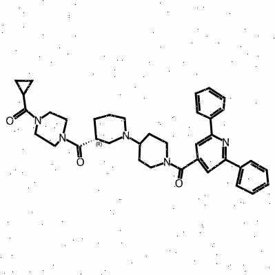 O=C(c1cc(-c2ccccc2)nc(-c2ccccc2)c1)N1CCC(N2CCC[C@@H](C(=O)N3CCN(C(=O)C4CC4)CC3)C2)CC1